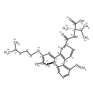 COc1cccc(OC)c1-c1ccc(C(=O)N[C@@](C)(C(=O)O)C(C)C)nc1-c1ccc(Cl)c(OCCCN(C)C)c1